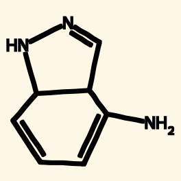 NC1=CC=CC2NN=CC12